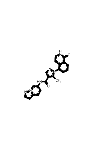 O=C(Nc1ccc2ccnn2c1)c1cnn(-c2cccc3c(=O)[nH]ccc23)c1C(F)(F)F